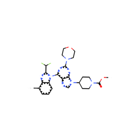 COc1cccc2c1nc(C(F)F)n2-c1nc(N2CCOCC2)nc2c1ncn2C1CCN(C(=O)OC(C)(C)C)CC1